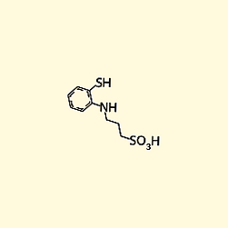 O=S(=O)(O)CCCNc1ccccc1S